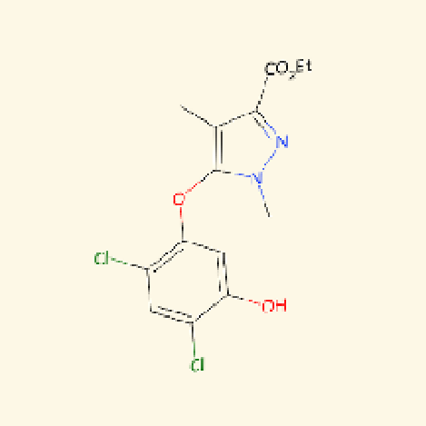 CCOC(=O)c1nn(C)c(Oc2cc(O)c(Cl)cc2Cl)c1C